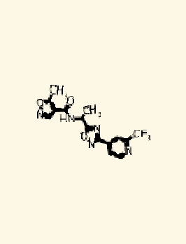 Cc1oncc1C(=O)NC(C)c1nc(-c2ccnc(C(F)(F)F)c2)no1